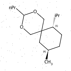 CCCC1OCC2(CO1)C[C@H](C)CC[C@H]2C(C)C